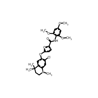 COc1cc(OC)c(NC(=O)c2ccc(Oc3cc4c(cc3Cl)N(C)CCC4(C)C)o2)c(OC)c1